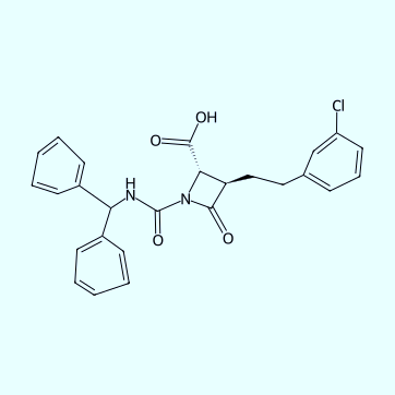 O=C(O)[C@@H]1[C@@H](CCc2cccc(Cl)c2)C(=O)N1C(=O)NC(c1ccccc1)c1ccccc1